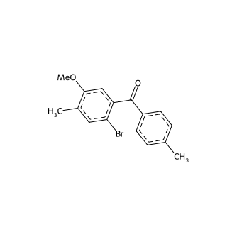 COc1cc(C(=O)c2ccc(C)cc2)c(Br)cc1C